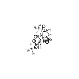 CC1=C(C(=O)C(C)(C)C)N2C(=O)[C@@H](NC(=O)OC(C)(C)C)[C@@H]2S(=O)(=O)C1